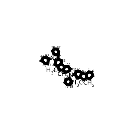 CC1(C)c2ccccc2-c2ccc(N(c3ccccc3)c3ccc4c(c3)C(C)(C)c3cc5c(cc3-4)c3ccccc3n5-c3ccccc3)cc21